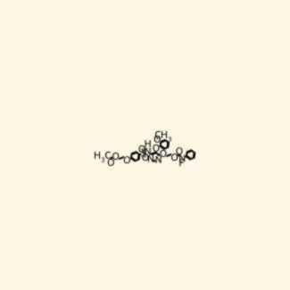 COc1ccccc1Oc1c(NS(=O)(=O)c2ccc(OCCOC(C)=O)cc2)ncnc1OCCOC(=O)N(F)c1ccccc1